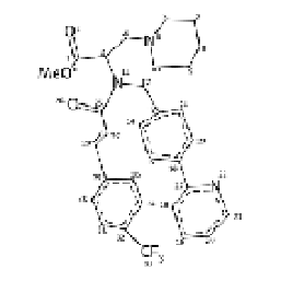 COC(=O)C(CN1CCCCC1)N(Cc1ccc(-c2ccccn2)cc1)C(=O)/C=C/c1ccc(C(F)(F)F)cc1